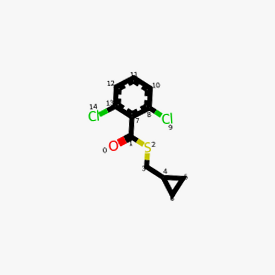 O=C(SCC1CC1)c1c(Cl)cccc1Cl